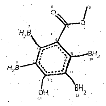 Bc1c(B)c(C(=O)OC)c(B)c(B)c1O